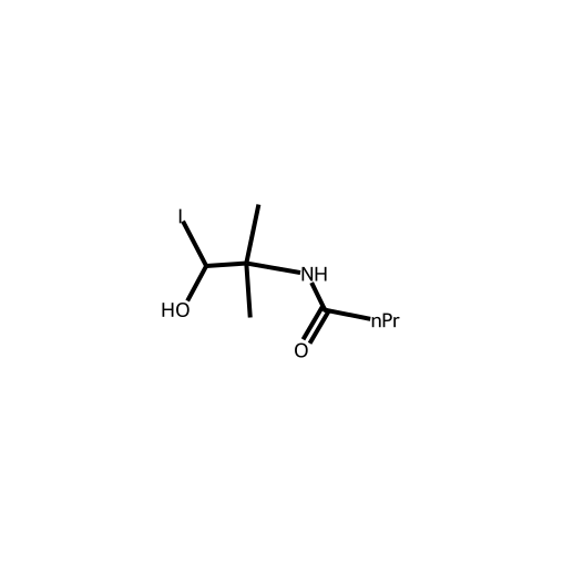 CCCC(=O)NC(C)(C)C(O)I